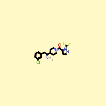 NC(Cc1cccc(Cl)c1)C1CCN(C(=O)c2ccnn2C(F)F)CC1